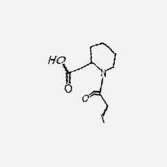 O=C(O)C1CCCCN1C(=O)CI